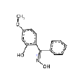 COc1ccc(/C(=N/O)c2ccccc2)c(O)c1